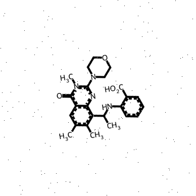 Cc1cc2c(=O)n(C)c(N3CCOCC3)nc2c(C(C)Nc2ccccc2C(=O)O)c1C